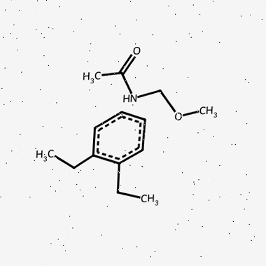 CCc1ccccc1CC.COCNC(C)=O